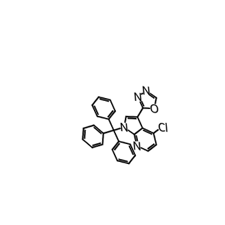 Clc1ccnc2c1c(-c1nnco1)cn2C(c1ccccc1)(c1ccccc1)c1ccccc1